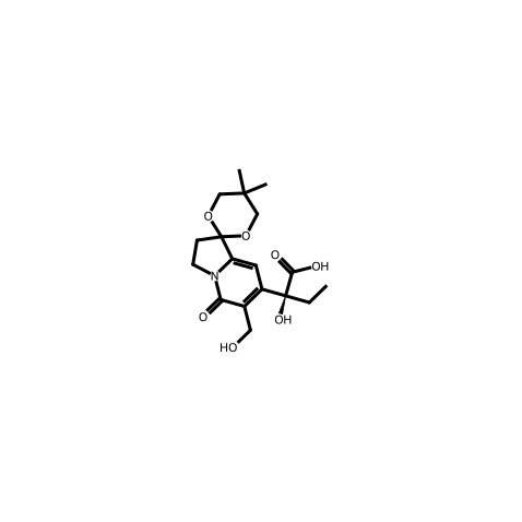 CC[C@@](O)(C(=O)O)c1cc2n(c(=O)c1CO)CCC21OCC(C)(C)CO1